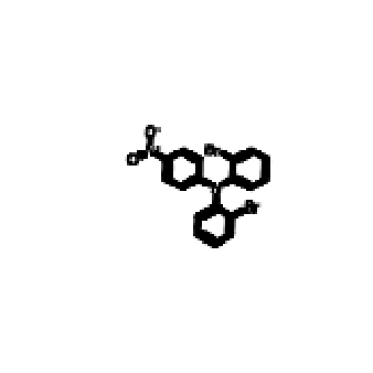 O=[N+]([O-])c1ccc(N(c2ccccc2Br)c2ccccc2Br)cc1